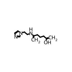 C=C(O)CCCC(=C)NCCn1ccnc1